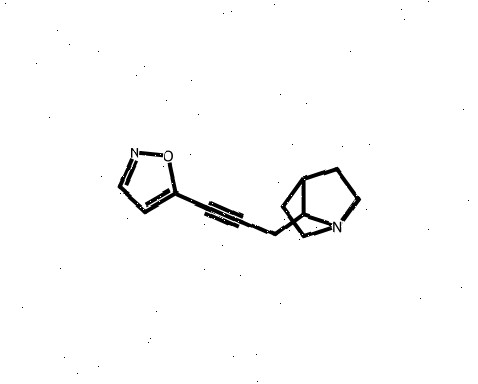 C(#Cc1ccno1)CC1C2CCN1CC2